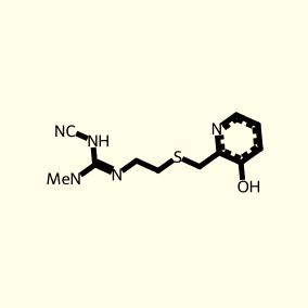 CN/C(=N/CCSCc1ncccc1O)NC#N